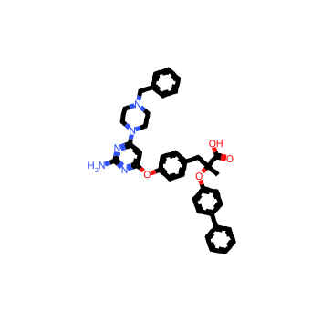 CC(Cc1ccc(Oc2cc(N3CCN(Cc4ccccc4)CC3)nc(N)n2)cc1)(Oc1ccc(-c2ccccc2)cc1)C(=O)O